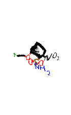 NS(=O)(=O)c1c(OCCF)cccc1[N+](=O)[O-]